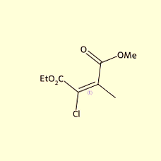 CCOC(=O)/C(Cl)=C(/C)C(=O)OC